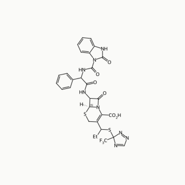 CCC(SC1(C(F)(F)F)N=CN=N1)C1=C(C(=O)O)N2C(=O)C(NC(=O)C(NC(=O)n3c(=O)[nH]c4ccccc43)c3ccccc3)[C@@H]2SC1